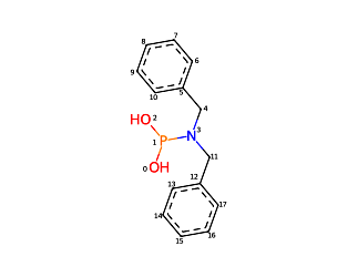 OP(O)N(Cc1ccccc1)Cc1ccccc1